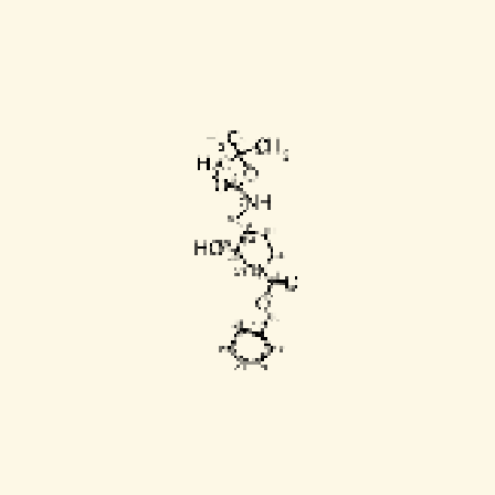 CC(C)(C)OC(=O)NC[C@@H]1CCN(C(=O)OCc2ccccc2)C[C@@H]1O